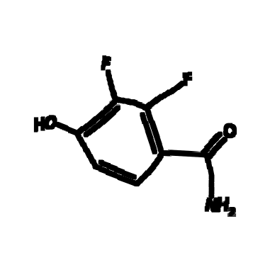 NC(=O)c1ccc(O)c(F)c1F